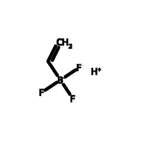 C=C[B-](F)(F)F.[H+]